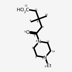 CCN1CCN(C(=O)CC(C)(C)CC(=O)O)CC1